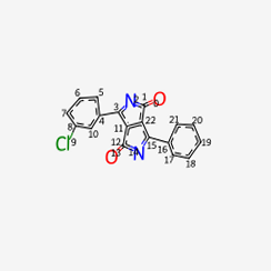 O=c1nc(-c2cccc(Cl)c2)c2c(=O)nc(-c3ccccc3)c1=2